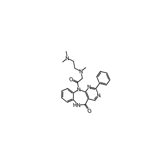 CN(C)CCN(C)CC(=O)N1c2ccccc2NC(=O)c2cnc(-c3ccccc3)nc21